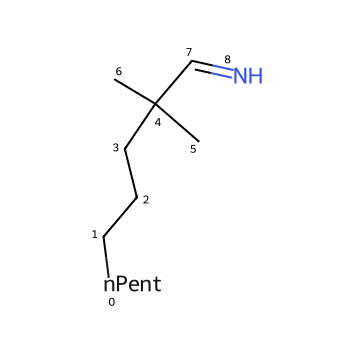 CCCCCCCCC(C)(C)C=N